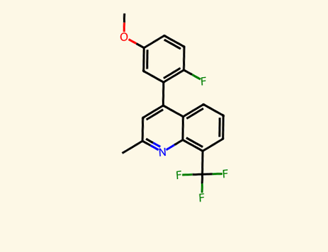 COc1ccc(F)c(-c2cc(C)nc3c(C(F)(F)F)cccc23)c1